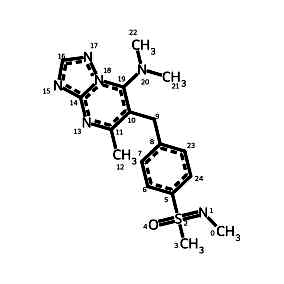 CN=S(C)(=O)c1ccc(Cc2c(C)nc3ncnn3c2N(C)C)cc1